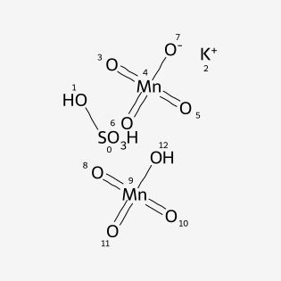 O=S(=O)(O)O.[K+].[O]=[Mn](=[O])(=[O])[O-].[O]=[Mn](=[O])(=[O])[OH]